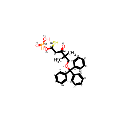 CC(C)(COC(c1ccccc1)(c1ccccc1)c1ccccc1)C(=O)CC(S)O[PH](=O)O